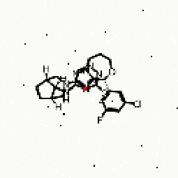 COc1cc(N2C[C@H]3CC[C@@H](C2)[C@@H]3Nc2nc3n(n2)CCCO[C@@H]3c2cc(F)cc(Cl)c2)cnn1